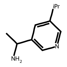 CC(C)c1cncc(C(C)N)c1